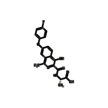 Cc1nc(C(=O)N[C@@H](C)C(=O)O)c(O)c2ccc(Oc3ccc(F)cc3)cc12